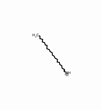 [2H]NC=CCCCCCCCCCCCCCCCCCCCCC